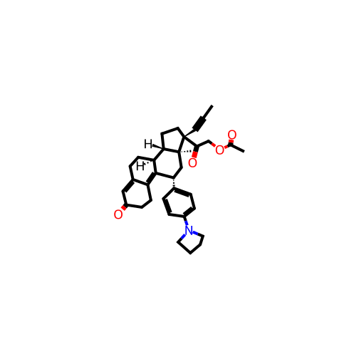 CC#C[C@]1(C(=O)COC(C)=O)CC[C@H]2[C@@H]3CCC4=CC(=O)CCC4=C3[C@@H](c3ccc(N4CCCC4)cc3)C[C@@]21C